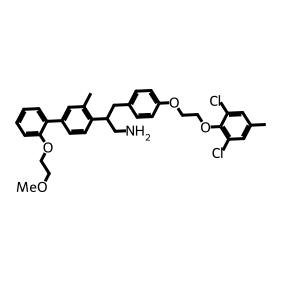 COCCOc1ccccc1-c1ccc(C(CN)Cc2ccc(OCCOc3c(Cl)cc(C)cc3Cl)cc2)c(C)c1